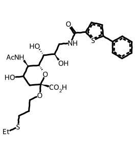 CCSCCCO[C@]1(C(=O)O)CC(O)[C@@H](NC(C)=O)[C@H]([C@H](O)[C@H](O)CNC(=O)c2ccc(-c3ccccc3)s2)O1